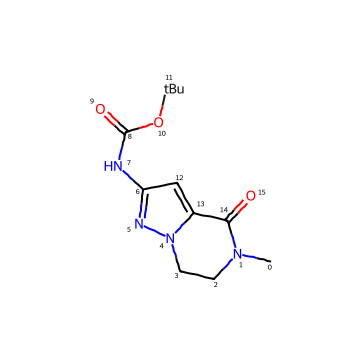 CN1CCn2nc(NC(=O)OC(C)(C)C)cc2C1=O